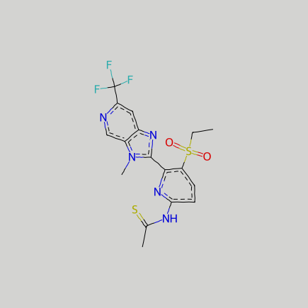 CCS(=O)(=O)c1ccc(NC(C)=S)nc1-c1nc2cc(C(F)(F)F)ncc2n1C